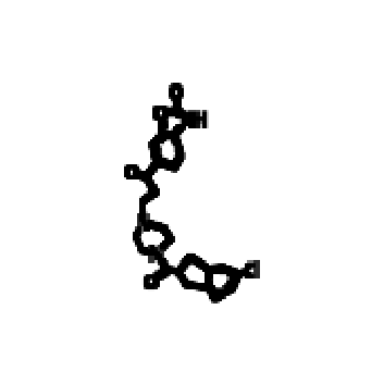 O=C(CCN1CCN(C(=O)C2Cc3ccc(Cl)cc3C2)CC1)c1ccc2[nH]c(=O)oc2c1